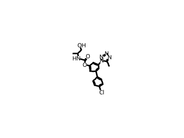 Cc1nnnn1-c1cc(OC(=O)NC(C)CO)cc(-c2ccc(Cl)cc2)c1